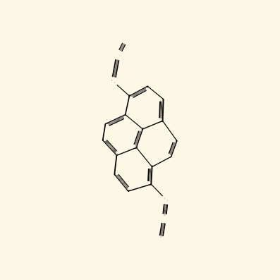 O=C=Nc1ccc2ccc3c(N=C=O)ccc4ccc1c2c43